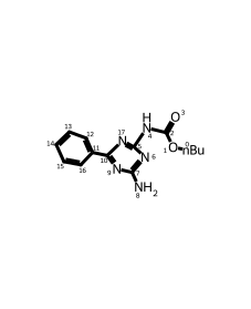 CCCCOC(=O)Nc1nc(N)nc(-c2ccccc2)n1